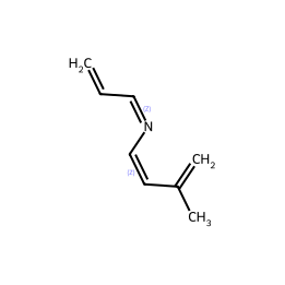 C=C/C=N\C=C/C(=C)C